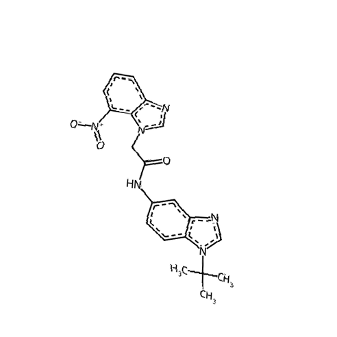 CC(C)(C)n1cnc2cc(NC(=O)Cn3cnc4cccc([N+](=O)[O-])c43)ccc21